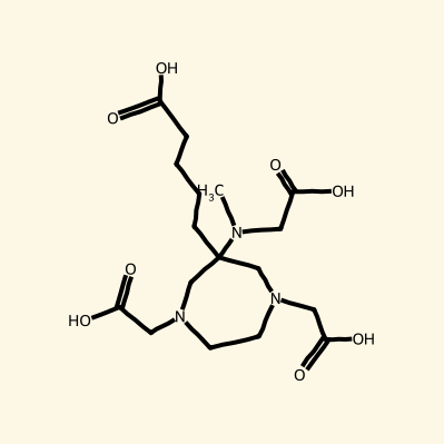 CN(CC(=O)O)C1(CCCCC(=O)O)CN(CC(=O)O)CCN(CC(=O)O)C1